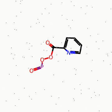 O=POOC(=O)c1ccccn1